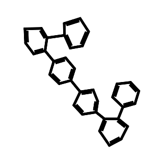 c1ccc(-c2ccccc2-c2ccc(-c3ccc(-c4ccccc4-c4ccccc4)cc3)cc2)cc1